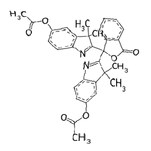 CC(=O)Oc1ccc2c(c1)C(C)(C)C(C1(C3=Nc4ccc(OC(C)=O)cc4C3(C)C)OC(=O)c3ccccc31)=N2